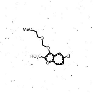 COCCOCOc1c(C(=O)O)oc2ccc(Cl)cc12